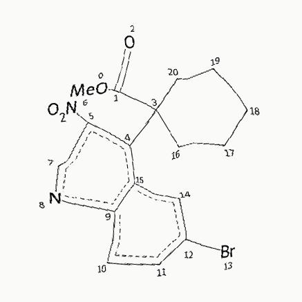 COC(=O)C1(c2c([N+](=O)[O-])cnc3ccc(Br)cc23)CCCCC1